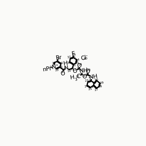 CCC[n+]1cc(Br)cc(C(=O)NCC(OC(=O)NC(C)OC(=O)Nc2cccc3ccccc23)c2ccc(F)cc2)c1.[Cl-]